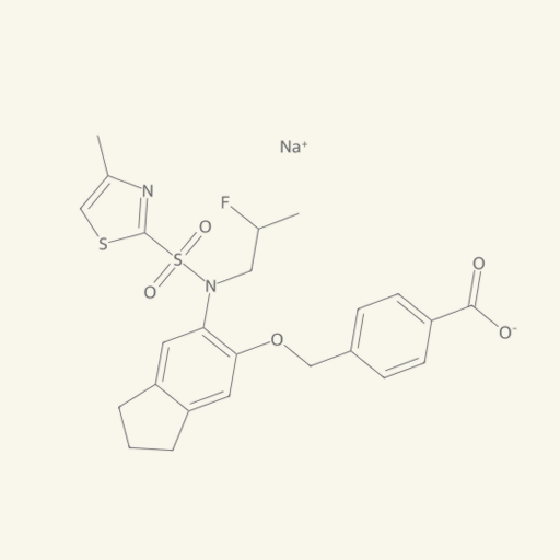 Cc1csc(S(=O)(=O)N(CC(C)F)c2cc3c(cc2OCc2ccc(C(=O)[O-])cc2)CCC3)n1.[Na+]